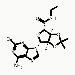 CCNC(=O)[C@H]1O[C@@H](n2cnc3c(N)nc(Cl)nc32)[C@@H]2OC(C)(C)O[C@@H]21